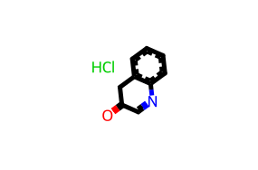 Cl.O=C1C=Nc2ccccc2C1